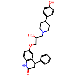 O=C1CC(c2ccccc2)c2cc(OCC(O)CN3CCC(c4ccc(O)cc4)CC3)ccc2N1